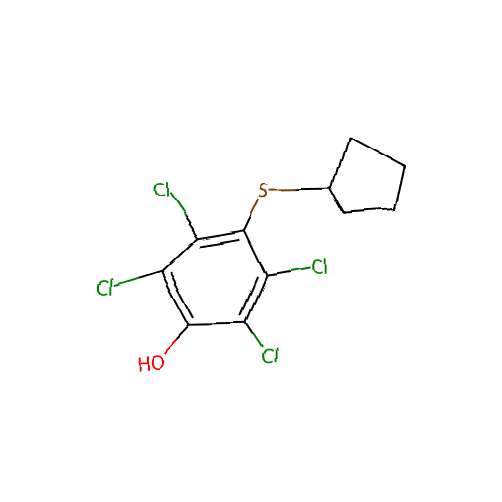 Oc1c(Cl)c(Cl)c(SC2CCCC2)c(Cl)c1Cl